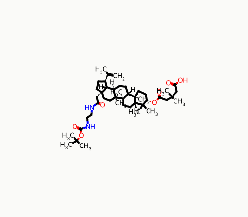 C=C(C)[C@@H]1CC[C@]2(CC(=O)NCCNC(=O)OC(C)(C)C)CC[C@]3(C)[C@H](CC[C@@H]4[C@@]5(C)CC[C@H](OC(=O)CC(C)(C)CC(=O)O)C(C)(C)[C@@H]5CC[C@]43C)[C@@H]12